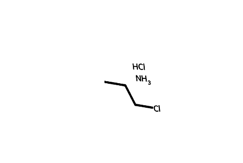 CCCCl.Cl.N